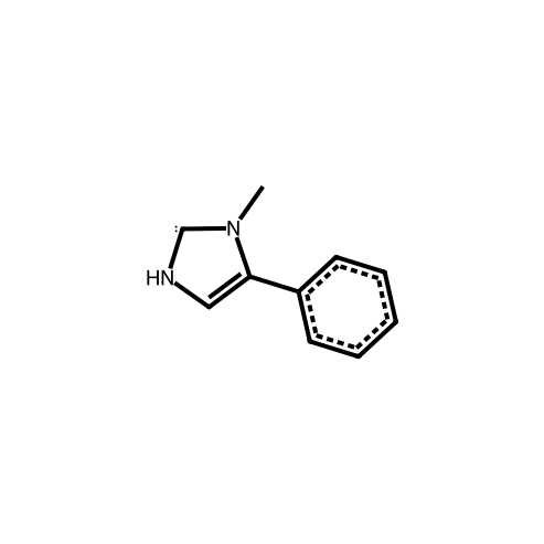 CN1[C]NC=C1c1ccccc1